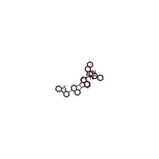 c1ccc(-c2nc(-c3ccccc3)nc(-c3ccc4c5c(cccc35)C35c6cccc7c(-c8cccc9c8sc8ccccc89)ccc(c67)C43c3ccc(-n4c6ccccc6c6ccccc64)c4cccc5c34)n2)cc1